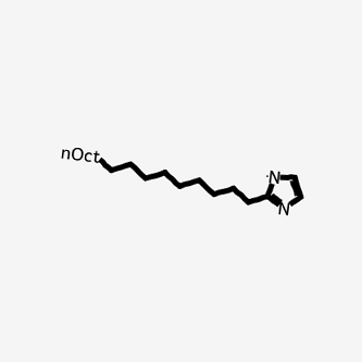 CCCCCCCCCCCCCCCCCC1=NC=C[N]1